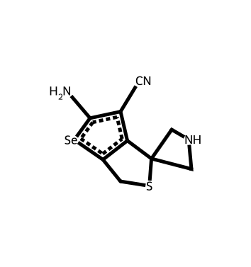 N#Cc1c(N)[se]c2c1C1(CNC1)SC2